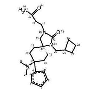 CN(C)[C@]1(c2ccccc2)CC[C@]2(CC1)CN(CCC(N)=O)C(=O)N2CC1CCC1